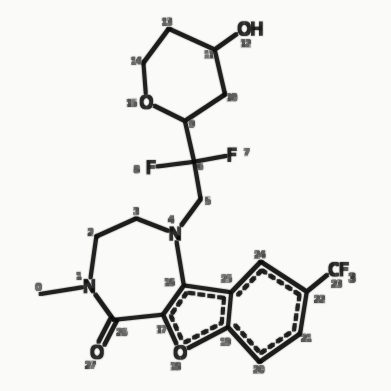 CN1CCN(CC(F)(F)C2CC(O)CCO2)c2c(oc3ccc(C(F)(F)F)cc23)C1=O